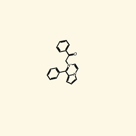 O=C(C[n+]1ccn2cccc2c1-c1ccccc1)c1ccccc1